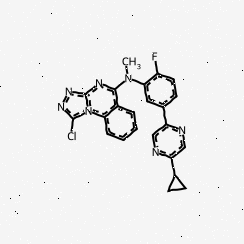 CN(c1cc(-c2cnc(C3CC3)cn2)ccc1F)c1nc2nnc(Cl)n2c2ccccc12